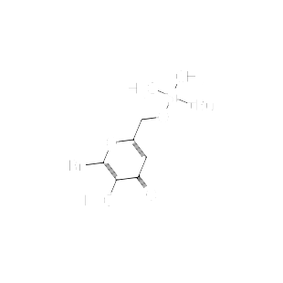 Cc1c(Br)oc(CO[Si](C)(C)C(C)(C)C)cc1=O